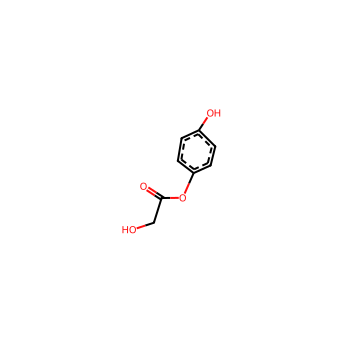 O=C(CO)Oc1ccc(O)cc1